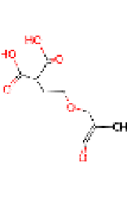 CC(=C=O)COCCC(C(=O)O)C(=O)O